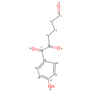 O=CCCCC(=O)C(=O)c1ccc(O)cc1